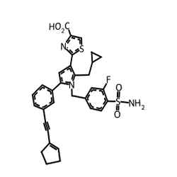 NS(=O)(=O)c1ccc(Cn2c(-c3cccc(C#CC4=CCCC4)c3)cc(-c3nc(C(=O)O)cs3)c2CC2CC2)cc1F